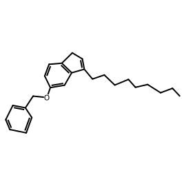 CCCCCCCCCC1=CCc2ccc(OCc3ccccc3)cc21